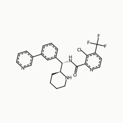 O=C(N[C@@H](c1cccc(-c2cccnc2)c1)[C@@H]1CCCCN1)c1nccc(C(F)(F)F)c1Cl